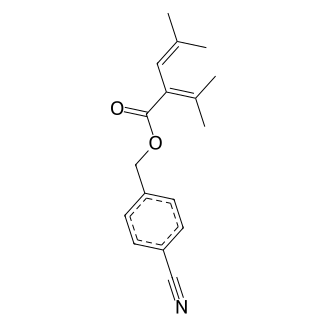 CC(C)=CC(C(=O)OCc1ccc(C#N)cc1)=C(C)C